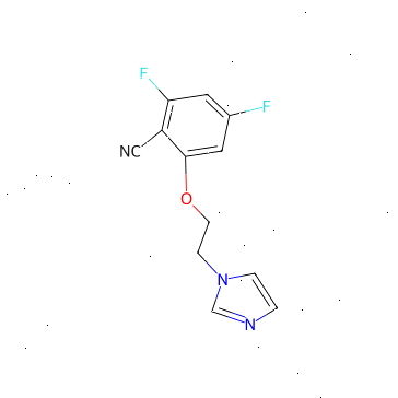 N#Cc1c(F)cc(F)cc1OCCn1ccnc1